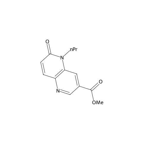 CCCn1c(=O)ccc2ncc(C(=O)OC)cc21